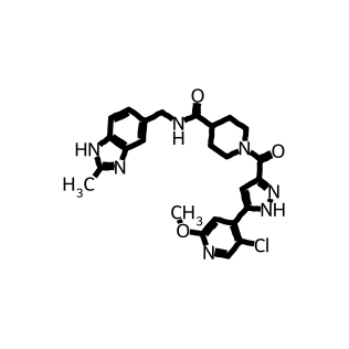 COc1cc(-c2cc(C(=O)N3CCC(C(=O)NCc4ccc5[nH]c(C)nc5c4)CC3)n[nH]2)c(Cl)cn1